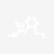 COC(=Cc1ccccc1CBr)C(=O)O